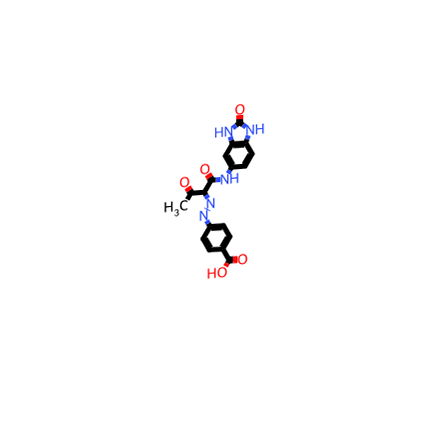 CC(=O)C(N=Nc1ccc(C(=O)O)cc1)C(=O)Nc1ccc2[nH]c(=O)[nH]c2c1